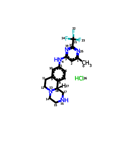 Cc1cc(Nc2ccc3c(c2)CCN2CCNC[C@@H]32)nc(C(F)(F)F)n1.Cl